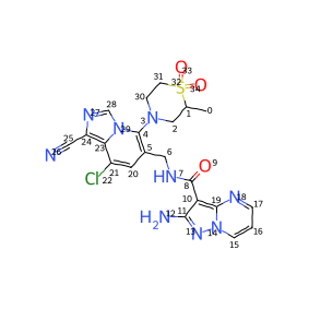 CC1CN(c2c(CNC(=O)c3c(N)nn4cccnc34)cc(Cl)c3c(C#N)ncn23)CCS1(=O)=O